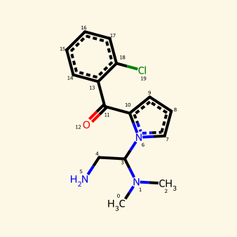 CN(C)C(CN)n1cccc1C(=O)c1ccccc1Cl